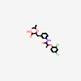 CC(C)OC(Cc1cccc(NC(=O)C(C)Oc2ccc(Cl)cc2Cl)c1)C(=O)O